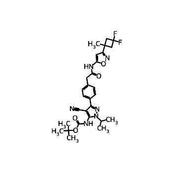 CC(C)n1nc(-c2ccc(CC(=O)Nc3cc(C4(C)CC(F)(F)C4)no3)cc2)c(C#N)c1NC(=O)OC(C)(C)C